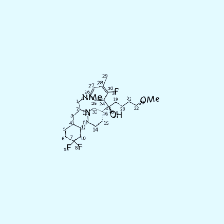 CNCC(CC1CCC(F)(F)CC1)N1CCC[C@@H]([C@@](O)(CCCCOC)c2cccc(C)c2F)C1